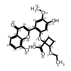 CCOC1CCC1(Oc1cc(O)c(OC)cc1-c1cc(=O)c2cccc(Cl)c2o1)C(=O)O